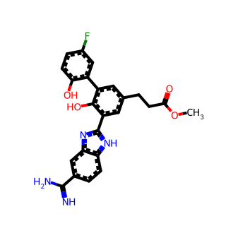 COC(=O)CCc1cc(-c2nc3cc(C(=N)N)ccc3[nH]2)c(O)c(-c2cc(F)ccc2O)c1